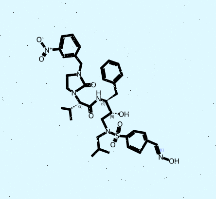 CC(C)CN(C[C@@H](O)[C@H](Cc1ccccc1)NC(=O)[C@H](C(C)C)N1CCN(Cc2cccc([N+](=O)[O-])c2)C1=O)S(=O)(=O)c1ccc(/C=N/O)cc1